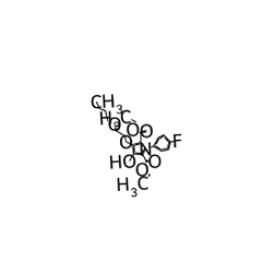 CCCCOCCOc1c(O)c(C(=O)OCC)n(-c2ccc(F)cc2)c1C(=O)OCC